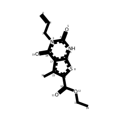 C=CCn1c(=O)[nH]c2sc(C(=O)OCC)c(C)c2c1=O